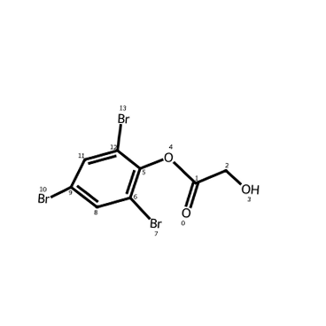 O=C(CO)Oc1c(Br)cc(Br)cc1Br